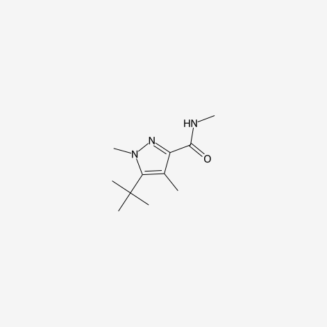 CNC(=O)c1nn(C)c(C(C)(C)C)c1C